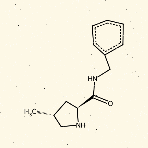 C[C@H]1CN[C@H](C(=O)NCc2ccccc2)C1